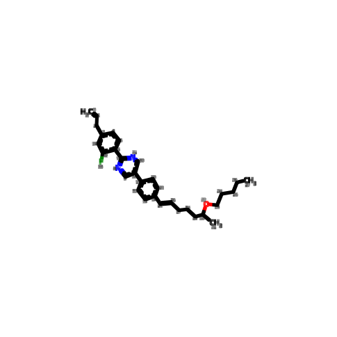 C=CCc1ccc(-c2ncc(-c3ccc(/C=C/CCCC(C)OCCCCC)cc3)cn2)c(F)c1